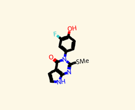 CSc1nc2[nH]ccc2c(=O)n1-c1ccc(O)c(F)c1